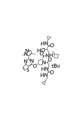 Cc1cnn(C)c1-c1nc(O[C@@H]2C[C@@H](C(=O)N[C@@H](CC3CCC3)C(O)C(=O)NC3CC3)N(C(=O)[C@@H](NC(=O)NCC3CC3)C(C)(C)C)C2)c2sccc2n1